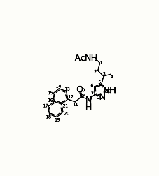 CC(=O)NCCC(C)c1cc(NC(=O)Cc2cccc3ccccc23)n[nH]1